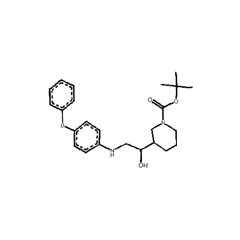 CC(C)(C)OC(=O)N1CCCC(C(O)CNc2ccc(Oc3ccccc3)cc2)C1